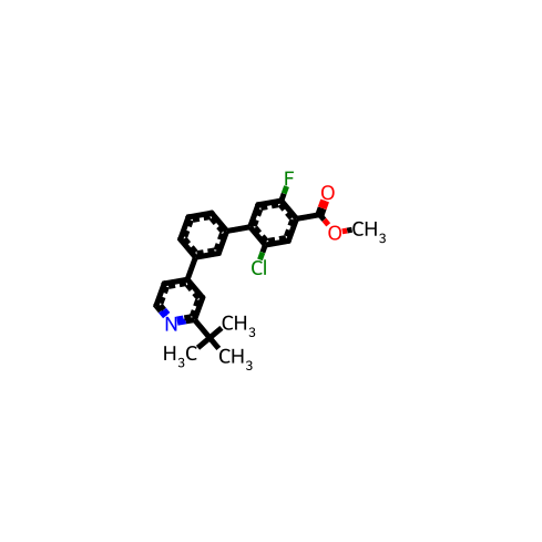 COC(=O)c1cc(Cl)c(-c2cccc(-c3ccnc(C(C)(C)C)c3)c2)cc1F